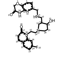 O=C1COc2ccc(CNCC3CN(CCn4c(=O)ccc5ccc(F)cc54)CCC3O)nc2N1